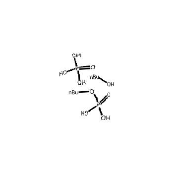 CCCCO.CCCCOP(=O)(O)O.O=P(O)(O)O